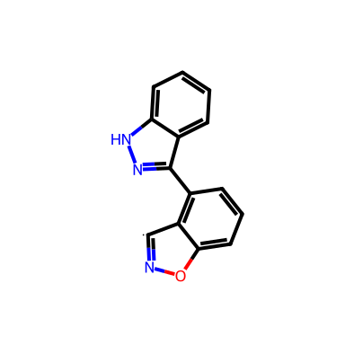 [c]1noc2cccc(-c3n[nH]c4ccccc34)c12